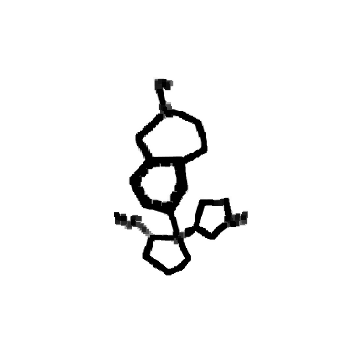 CC(C)N1CCc2cc([N+]3([C@H]4CCNC4)CCC[C@@H]3C)ccc2C1